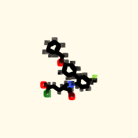 O=C(Cl)CCC1CN(c2ccc(F)cc2-c2ccc(OCc3ccccc3)cc2)C1=O